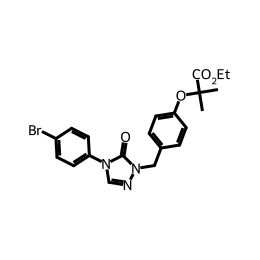 CCOC(=O)C(C)(C)Oc1ccc(Cn2ncn(-c3ccc(Br)cc3)c2=O)cc1